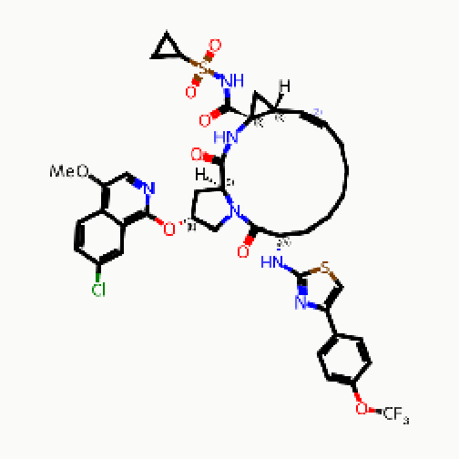 COc1cnc(O[C@@H]2C[C@H]3C(=O)N[C@]4(C(=O)NS(=O)(=O)C5CC5)C[C@@H]4/C=C\CCCCC[C@H](Nc4nc(-c5ccc(OC(F)(F)F)cc5)cs4)C(=O)N3C2)c2cc(Cl)ccc12